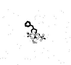 CC(C)(C)OC(=O)N[C@@H](COS(C)(=O)=O)CC(COS(C)(=O)=O)Cc1ccccc1